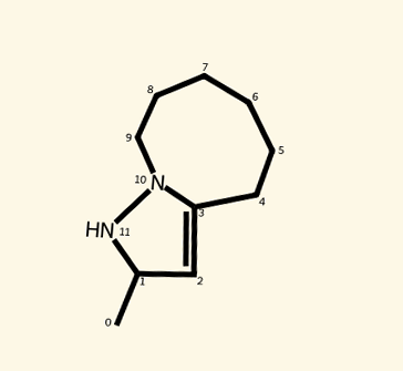 CC1C=C2CCCCCCN2N1